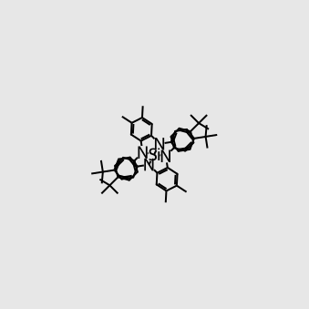 Cc1cc2c(cc1C)N(c1ccc(C(C)(C)C)cc1)[Si]1(N2c2ccc(C(C)(C)C)cc2)N(c2ccc(C(C)(C)C)cc2)c2cc(C)c(C)cc2N1c1ccc(C(C)(C)C)cc1